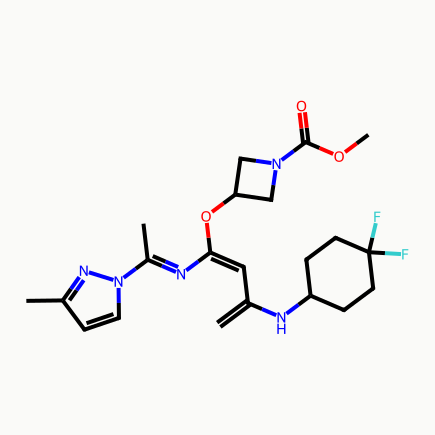 C=C(/C=C(\N=C(/C)n1ccc(C)n1)OC1CN(C(=O)OC)C1)NC1CCC(F)(F)CC1